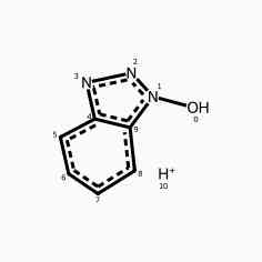 On1nnc2ccccc21.[H+]